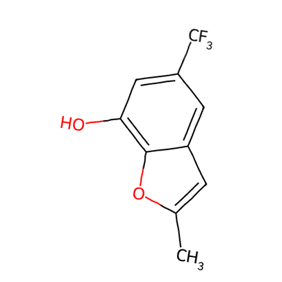 Cc1cc2cc(C(F)(F)F)cc(O)c2o1